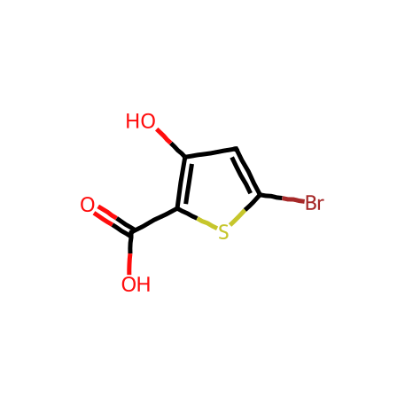 O=C(O)c1sc(Br)cc1O